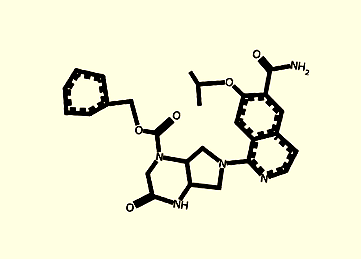 CC(C)Oc1cc2c(N3CC4NC(=O)CN(C(=O)OCc5ccccc5)C4C3)nccc2cc1C(N)=O